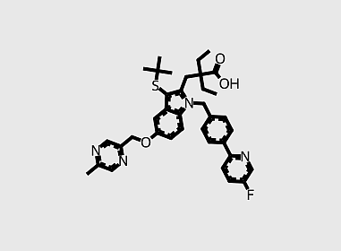 CCC(CC)(Cc1c(SC(C)(C)C)c2cc(OCc3cnc(C)cn3)ccc2n1Cc1ccc(-c2ccc(F)cn2)cc1)C(=O)O